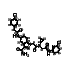 NC(=O)c1nn(CC(=O)N(CC(=O)Nc2cccc(Cl)n2)C2CC2)c2ccc(NC(=O)Cc3ccc(Cl)cc3)cc12